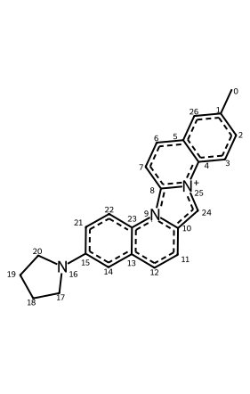 Cc1ccc2c(ccc3n4c(ccc5cc(N6CCCC6)ccc54)c[n+]23)c1